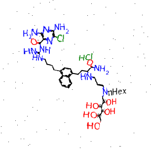 CCCCCCN(CCCNC(CCc1ccc(CCCCNC(=N)NC(=O)c2nc(Cl)c(N)nc2N)c2ccccc12)C(N)=O)C[C@H](O)[C@@H](O)[C@H](O)[C@H](O)CO.Cl